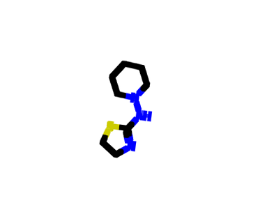 C1CCN(NC2=NCCS2)CC1